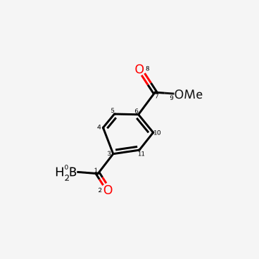 BC(=O)c1ccc(C(=O)OC)cc1